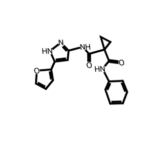 O=C(Nc1ccccc1)C1(C(=O)Nc2cc(-c3ccco3)[nH]n2)CC1